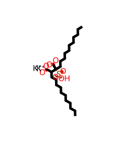 CCCCCCCCCCCC(C(=O)[O-])C(CCCCCCCCCCC)(C(=O)[O-])S(=O)(=O)O.[K+].[K+]